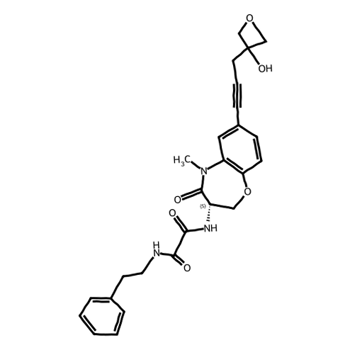 CN1C(=O)[C@@H](NC(=O)C(=O)NCCc2ccccc2)COc2ccc(C#CCC3(O)COC3)cc21